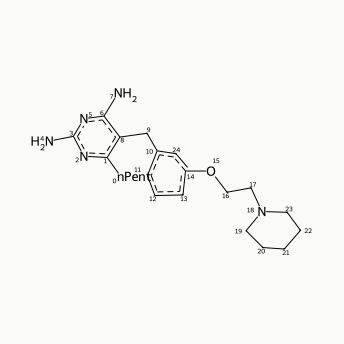 CCCCCc1nc(N)nc(N)c1Cc1cccc(OCCN2CCCCC2)c1